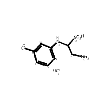 Cl.NCC(Nc1cccc(Cl)c1)S(=O)(=O)O